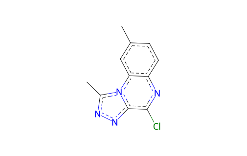 Cc1ccc2nc(Cl)c3nnc(C)n3c2c1